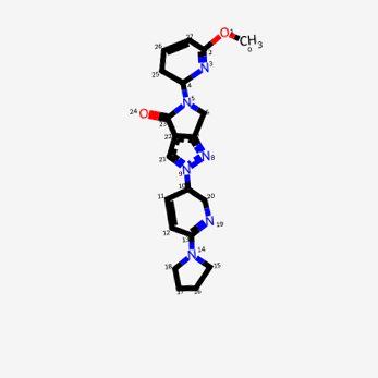 COC1=NC(N2Cc3nn(C4C=CC(N5CCCC5)=NC4)cc3C2=O)CC=C1